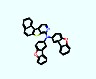 c1ccc2c(c1)ccc1sc3c(N(c4ccc5oc6ccccc6c5c4)c4ccc5oc6ccccc6c5c4)nccc3c12